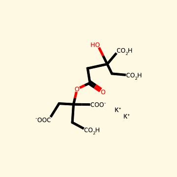 O=C([O-])CC(CC(=O)O)(OC(=O)CC(O)(CC(=O)O)C(=O)O)C(=O)[O-].[K+].[K+]